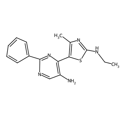 CCNc1nc(C)c(-c2nc(-c3ccccc3)ncc2N)s1